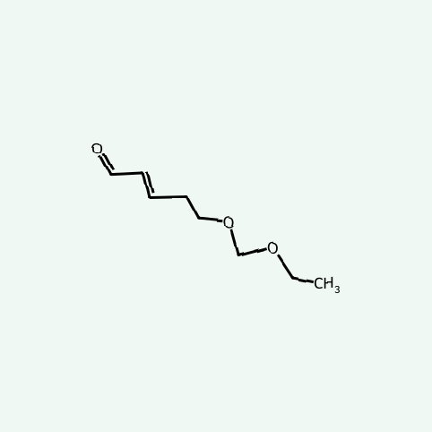 CCOCOCCC=CC=O